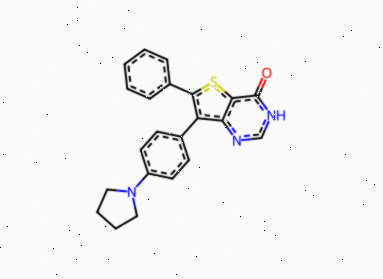 O=c1[nH]cnc2c(-c3ccc(N4CCCC4)cc3)c(-c3ccccc3)sc12